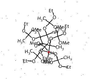 CCCC(OC(C)(OC)OCC)(OC(C)(OC)OCC)C(C)(OC(C)(OC)OCC)C(=O)C(C)(OC(C)(OC)OCC)C(CCC)(OC(C)(OC)OCC)OC(C)(OC)OCC